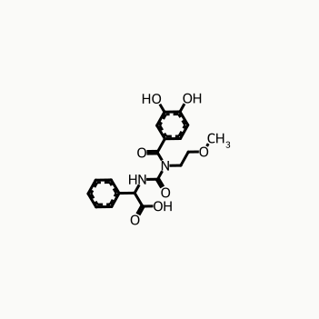 COCCN(C(=O)NC(C(=O)O)c1ccccc1)C(=O)c1ccc(O)c(O)c1